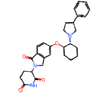 O=C1CCC(N2Cc3cc(O[C@@H]4CCCC[C@@H]4N4CCC(c5ccccc5)C4)ccc3C2=O)C(=O)N1